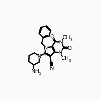 Cn1c(=O)c2c(c(C#N)c(N3CCCC(N)C3)n2Cc2ccccc2)n(C)c1=O